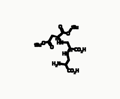 CC(C)(C)OC(=O)C[C@H](NC[C@H](NCC(N)C(=O)O)C(=O)O)C(=O)OC(C)(C)C